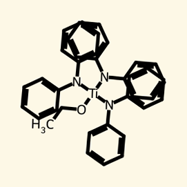 CC[O][Ti]([N](c1ccccc1)c1ccccc1)([N](c1ccccc1)c1ccccc1)[N](c1ccccc1)c1ccccc1